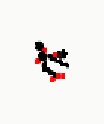 CCCCC[C@@H](/C=C/[C@H]1[C@H](O[Si](C)(C)C(C)(C)C)CC(=O)[C@@H]1C/C=C\CCCC(=O)O)O[Si](C)(C)C(C)(C)C